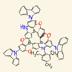 Cc1cc(C)c(N2c3cc4c(cc3B3c5ccccc5Oc5cc(-n6c7ccccc7c7ccccc76)cc2c53)B2c3cc5c(cc3Oc3cc(-n6c7ccccc7c7ccccc76)cc(c32)O4)Nc2cc(-n3c4ccccc4c4ccccc43)cc3c2B5c2ccccc2O3)c(C)c1